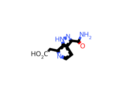 NC(=O)c1n[nH]c2c(CC(=O)O)nccc12